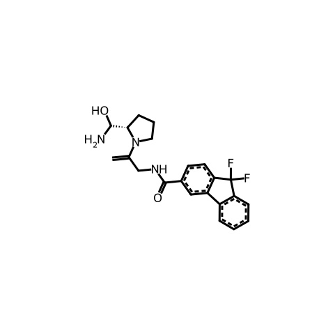 C=C(CNC(=O)c1ccc2c(c1)-c1ccccc1C2(F)F)N1CCC[C@H]1C(N)O